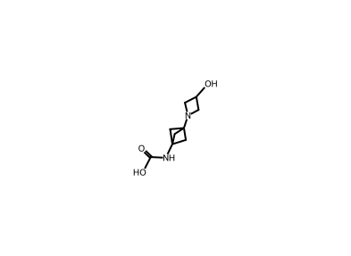 O=C(O)NC12CC(N3CC(O)C3)(C1)C2